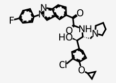 O=C(N[C@H](CN1CCCC1)[C@H](O)c1ccc(OC2CC2)c(Cl)c1)C(=O)c1ccc2nn(-c3ccc(F)cc3)cc2c1